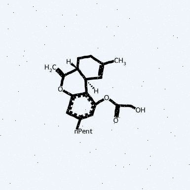 C=C1Oc2cc(CCCCC)cc(OC(=O)CO)c2[C@@H]2C=C(C)CC[C@@H]12